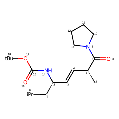 CC(C)C[C@@H](/C=C/[C@@H](C)C(=O)N1CCCC1)NC(=O)OC(C)(C)C